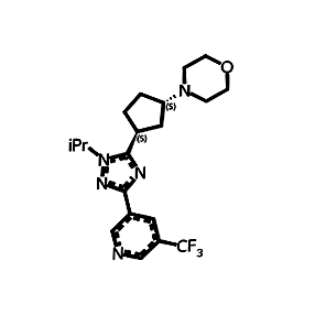 CC(C)n1nc(-c2cncc(C(F)(F)F)c2)nc1[C@H]1CC[C@H](N2CCOCC2)C1